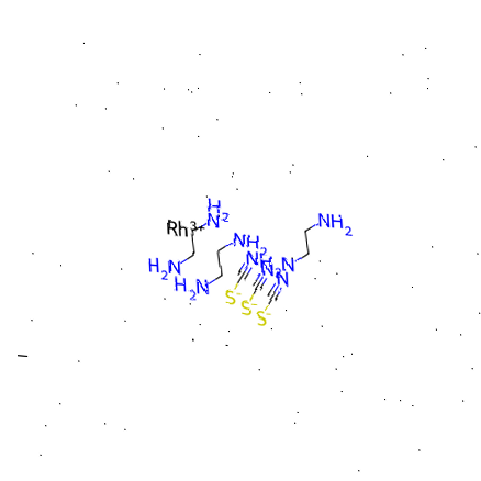 N#C[S-].N#C[S-].N#C[S-].NCCN.NCCN.NCCN.[Rh+3]